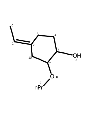 CC=C1CCC(O)C(OCCC)C1